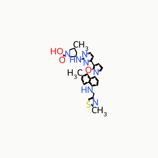 Cc1nc(CNc2cccc3c(Oc4ncccc4-c4ccnc(NC5CC(C)CN(C(=O)O)C5)n4)c(C)ccc23)cs1